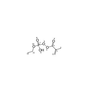 C=C(C)C(=O)OOP(=O)(O)OCC